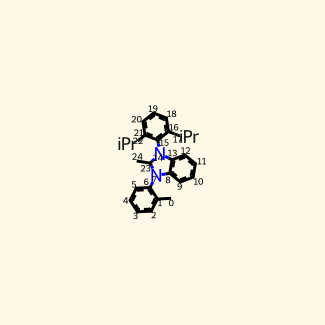 Cc1ccccc1N1c2ccccc2N(c2c(C(C)C)cccc2C(C)C)C1C